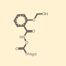 CCCCCCCC(=O)ONC(=O)c1ccccc1OCO